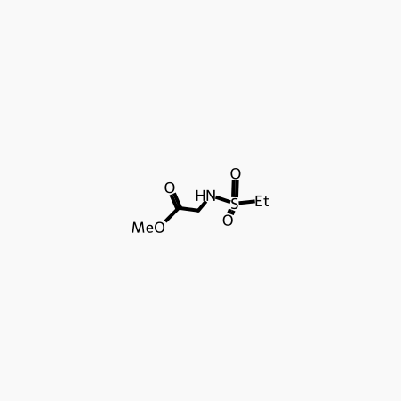 CCS(=O)(=O)NCC(=O)OC